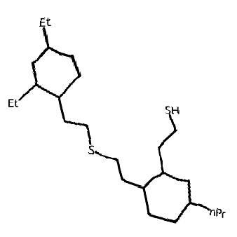 CCCC1CCC(CCSCCC2CCC(CC)CC2CC)C(CCS)C1